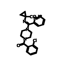 O=C(c1ccccc1Cl)N1CCN(C(=NC2(C(=O)O)CC2)c2cccnn2)CC1